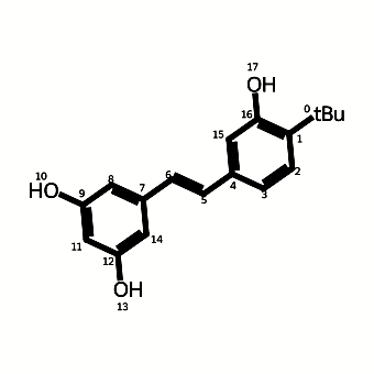 CC(C)(C)c1ccc(/C=C/c2cc(O)cc(O)c2)cc1O